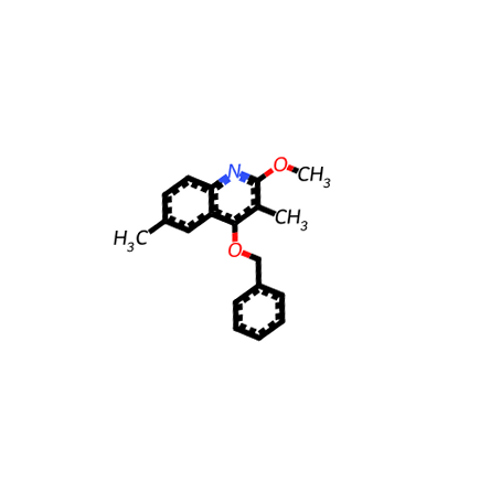 COc1nc2ccc(C)cc2c(OCc2ccccc2)c1C